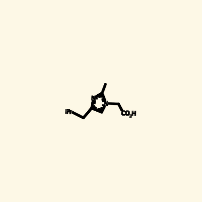 Cc1nc(CC(C)C)cn1CC(=O)O